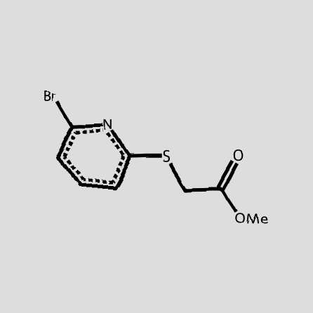 COC(=O)CSc1cccc(Br)n1